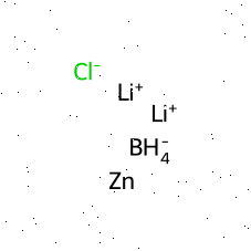 [BH4-].[Cl-].[Li+].[Li+].[Zn]